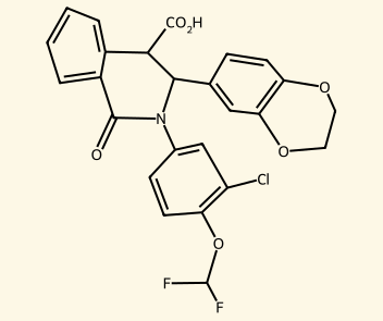 O=C(O)C1c2ccccc2C(=O)N(c2ccc(OC(F)F)c(Cl)c2)C1c1ccc2c(c1)OCCO2